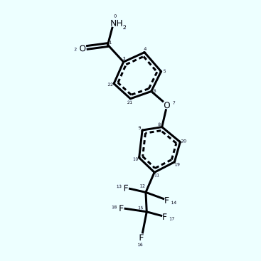 NC(=O)c1ccc(Oc2ccc(C(F)(F)C(F)(F)F)cc2)cc1